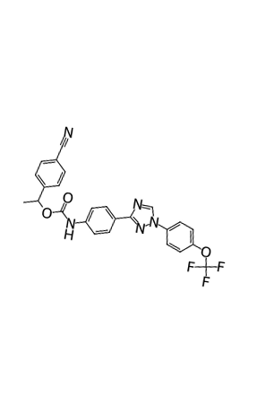 CC(OC(=O)Nc1ccc(-c2ncn(-c3ccc(OC(F)(F)F)cc3)n2)cc1)c1ccc(C#N)cc1